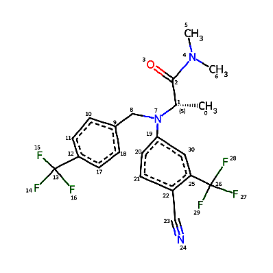 C[C@@H](C(=O)N(C)C)N(Cc1ccc(C(F)(F)F)cc1)c1ccc(C#N)c(C(F)(F)F)c1